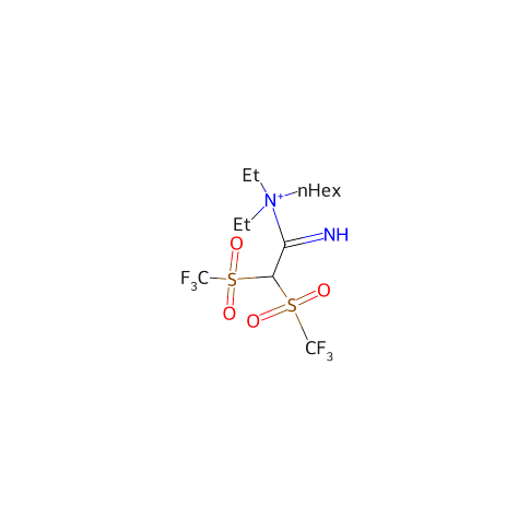 CCCCCC[N+](CC)(CC)C(=N)C(S(=O)(=O)C(F)(F)F)S(=O)(=O)C(F)(F)F